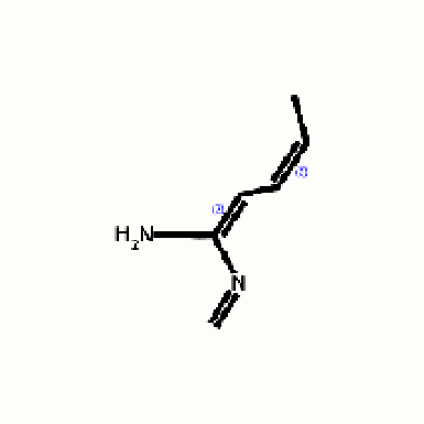 C=N/C(N)=C\C=C/C